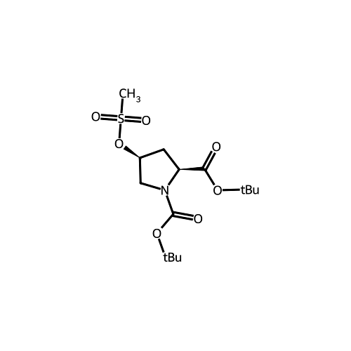 CC(C)(C)OC(=O)[C@@H]1C[C@H](OS(C)(=O)=O)CN1C(=O)OC(C)(C)C